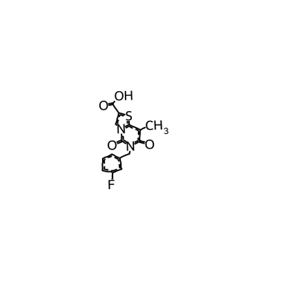 Cc1c(=O)n(Cc2cccc(F)c2)c(=O)n2cc(C(=O)O)sc12